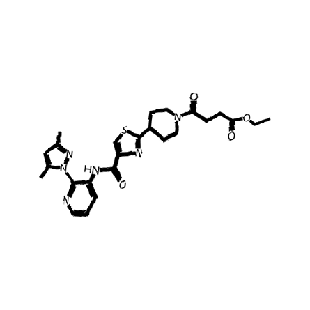 CCOC(=O)CCC(=O)N1CCC(c2nc(C(=O)Nc3cccnc3-n3nc(C)cc3C)cs2)CC1